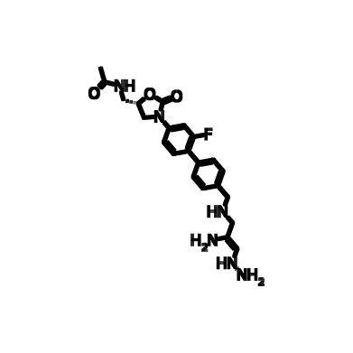 CC(=O)NC[C@H]1CN(c2ccc(-c3ccc(CNC/C(N)=C/NN)cc3)c(F)c2)C(=O)O1